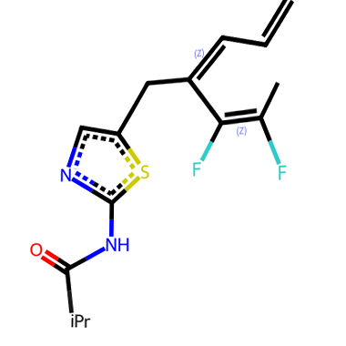 C=C/C=C(Cc1cnc(NC(=O)C(C)C)s1)\C(F)=C(/C)F